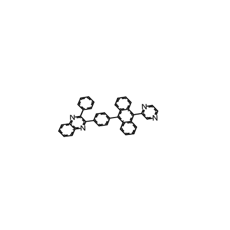 c1ccc(-c2nc3ccccc3nc2-c2ccc(-c3c4ccccc4c(-c4cnccn4)c4ccccc34)cc2)cc1